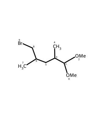 COC(OC)C(C)CC(C)CBr